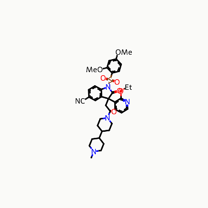 CCOc1ncccc1C1(CC(=O)N2CCC(C3CCN(C)CC3)CC2)C(=O)N(S(=O)(=O)c2ccc(OC)cc2OC)c2ccc(C#N)cc21